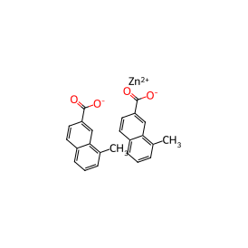 Cc1cccc2ccc(C(=O)[O-])cc12.Cc1cccc2ccc(C(=O)[O-])cc12.[Zn+2]